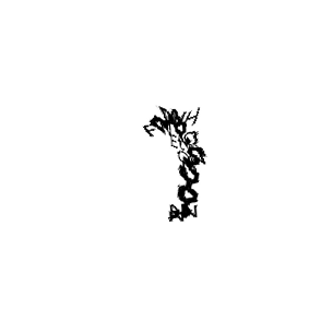 CCN(C(=O)[C@@H]1CCN(CC(=O)N2CC=C(c3ccc(-c4ncn(C)n4)cc3)CC2)C1)c1ccc2[nH]nc(-c3ccc(F)cn3)c2c1